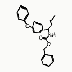 CCCC(NC(=O)OCc1ccccc1)c1ccc(Oc2ccccc2)cc1